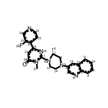 C[C@@H]1CN(c2cnc3ccccc3c2)CCN1c1nc(-c2ccncc2F)cc(=O)n1C